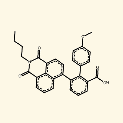 CCCCN1C(=O)c2cccc3c(-c4cccc(C(=O)O)c4-c4ccc(OC)cc4)ccc(c23)C1=O